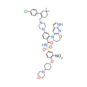 CC1(C)CCC(CN2CCN(c3ccc(C(=O)NS(=O)(=O)c4ccc(O[C@H]5CC[C@H](N6CCOCC6)CC5)c([N+](=O)[O-])c4)c(N4CCCOc5nc6[nH]ccc6cc54)c3)CC2)=C(c2ccc(Cl)cc2)C1